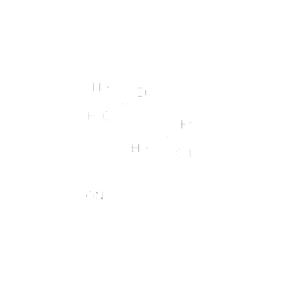 CCC(C)(C)CC(c1ccc(N=O)cc1)C(C)(C)CC